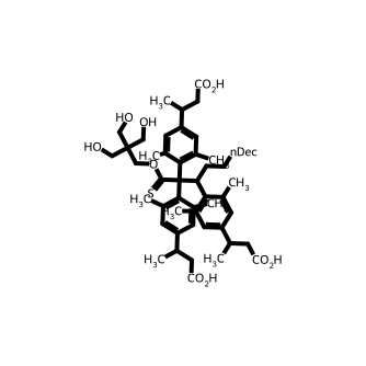 CCCCCCCCCCCCC(c1c(C)cc(C(C)CC(=O)O)cc1C)C(C(=S)OCC(CO)(CO)CO)(c1c(C)cc(C(C)CC(=O)O)cc1C)c1c(C)cc(C(C)CC(=O)O)cc1C